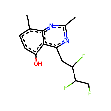 Cc1nc(CC(F)C(F)CF)c2c(O)ccc(C)c2n1